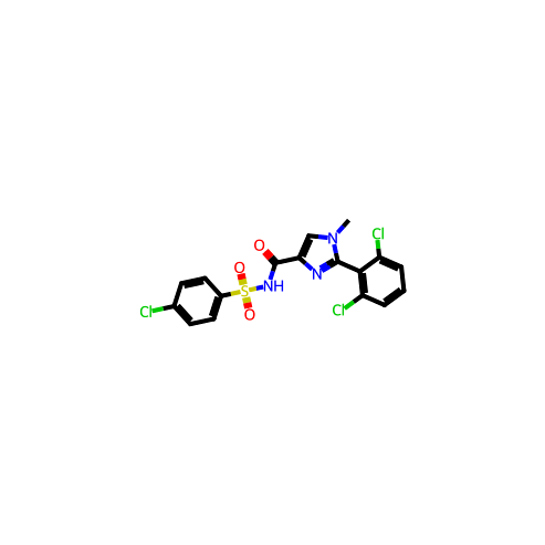 Cn1cc(C(=O)NS(=O)(=O)c2ccc(Cl)cc2)nc1-c1c(Cl)cccc1Cl